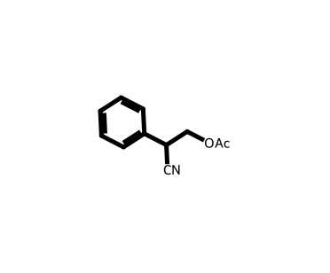 CC(=O)OCC(C#N)c1ccccc1